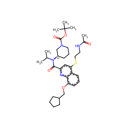 CC(=O)NCCSc1cc(C(=O)N(C(C)C)[C@@H]2CCCN(C(=O)OC(C)(C)C)C2)nc2c(OCC3CCCC3)cccc12